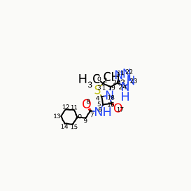 CC1(C)SC2C(NC(=O)CC3CCCCC3)C(=O)N2C1c1nnn[nH]1